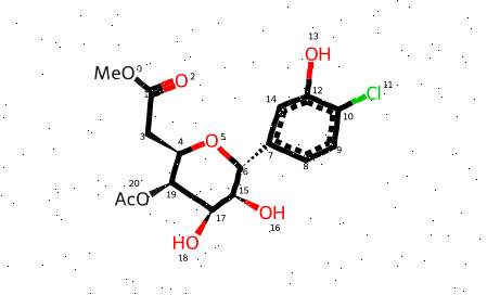 COC(=O)C[C@H]1O[C@H](c2ccc(Cl)c(O)c2)[C@@H](O)[C@@H](O)[C@H]1OC(C)=O